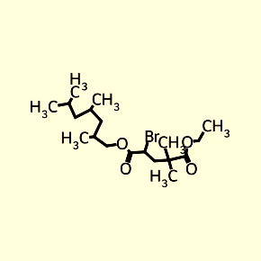 CCOC(=O)C(C)(C)CC(Br)C(=O)OCC(C)CC(C)CC(C)C